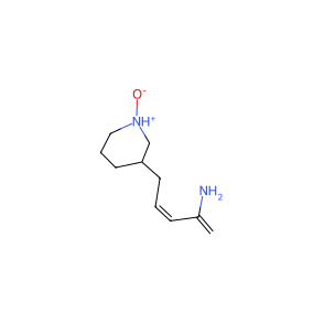 C=C(N)/C=C\CC1CCC[NH+]([O-])C1